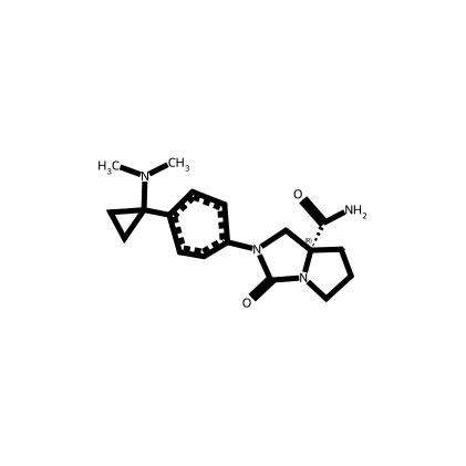 CN(C)C1(c2ccc(N3C[C@@]4(C(N)=O)[CH]CCN4C3=O)cc2)CC1